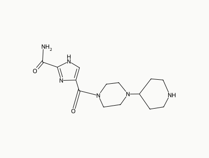 NC(=O)c1nc(C(=O)N2CCN(C3CCNCC3)CC2)c[nH]1